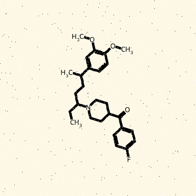 CCC(CC[C](C)c1ccc(OC)c(OC)c1)N1CCC(C(=O)c2ccc(F)cc2)CC1